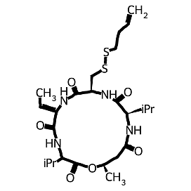 C=CCCSSC[C@H]1NC(=O)[C@@H](C(C)C)NC(=O)C[C@@H](C)OC(=O)C(C(C)C)NC(=O)/C(=C/C)NC1=O